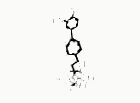 CC(C)(CCc1ccc(-c2ccc([N+](=O)[O-])c(N)c2)cc1)[Si](C)(C)O